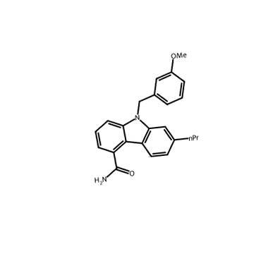 CCCc1c[c]c2c3c(C(N)=O)cccc3n(Cc3cccc(OC)c3)c2c1